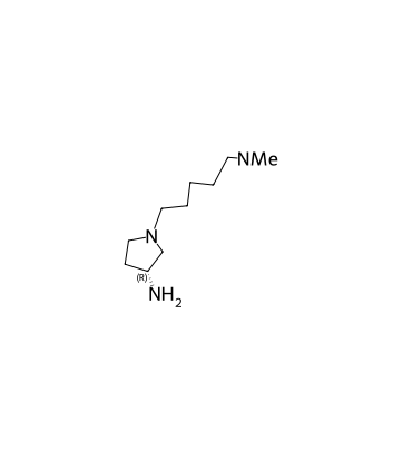 CNCCCCCN1CC[C@@H](N)C1